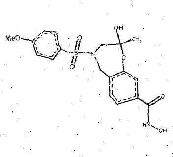 COc1ccc(S(=O)(=O)N2Cc3ccc(C(=O)NO)cc3O[C@@](C)(O)C2)cc1